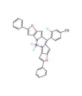 N#Cc1ccc(C2=C3C=c4oc(-c5ccccc5)cc4=[N+]3[B-](F)(F)n3c2cc2oc(-c4ccccc4)cc23)c(F)c1